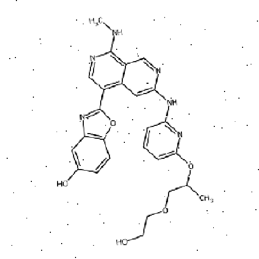 CNc1ncc(-c2nc3cc(O)ccc3o2)c2cc(Nc3cccc(OC(C)COCCO)n3)ncc12